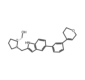 OC[C@H]1CCCN1Cc1cc2cc(-c3cccc(C4=CCOCC4)c3)ccc2[nH]1